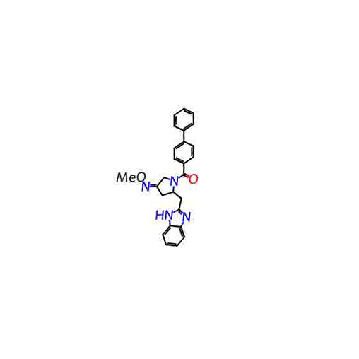 CON=C1CC(Cc2nc3ccccc3[nH]2)N(C(=O)c2ccc(-c3ccccc3)cc2)C1